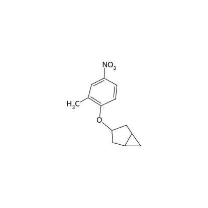 Cc1cc([N+](=O)[O-])ccc1OC1CC2CC2C1